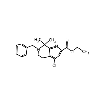 CCOC(=O)c1cc(Cl)c2c(n1)C(C)(C)N(Cc1ccccc1)CC2